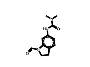 CN(C)C(=O)Nc1ccc2c(c1)N(C=O)CC2